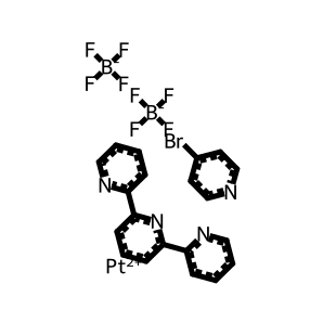 Brc1ccncc1.F[B-](F)(F)F.F[B-](F)(F)F.[Pt+2].c1ccc(-c2cccc(-c3ccccn3)n2)nc1